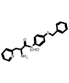 Cl.NC(Cc1ccccn1)C(=O)Nc1ccc(SCc2ccccc2)cc1